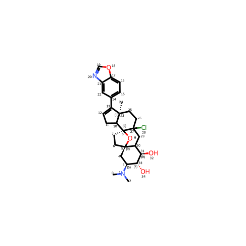 CN(C)[C@H]1C[C@@]23CC[C@]4(O2)C2CC=C(c5ccc6ocnc6c5)[C@@]2(C)CCC4(Cl)CC3[C@@H](O)[C@@H]1O